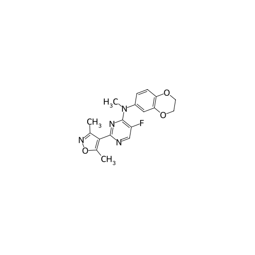 Cc1noc(C)c1-c1ncc(F)c(N(C)c2ccc3c(c2)OCCO3)n1